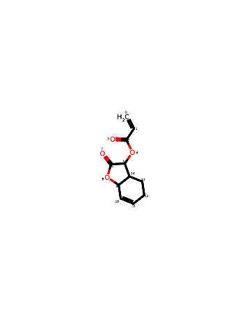 C=CC(=O)OC1C(=O)OC2C=CCCC21